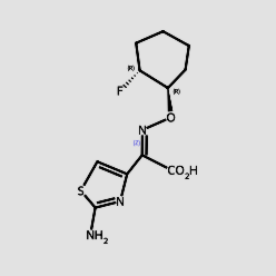 Nc1nc(/C(=N/O[C@@H]2CCCC[C@H]2F)C(=O)O)cs1